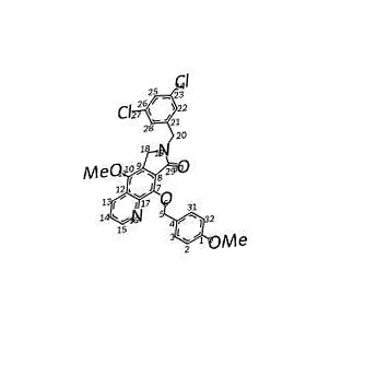 COc1ccc(COc2c3c(c(OC)c4cccnc24)CN(Cc2cc(Cl)cc(Cl)c2)C3=O)cc1